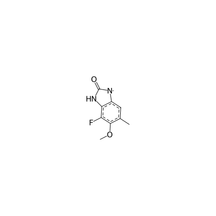 COc1c(C)cc2c(c1F)NC(=O)[N]2